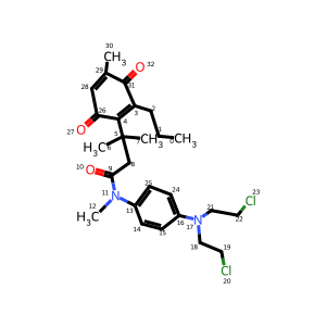 CCCC1=C(C(C)(C)CC(=O)N(C)c2ccc(N(CCCl)CCCl)cc2)C(=O)C=C(C)C1=O